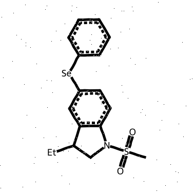 CCC1CN(S(C)(=O)=O)c2ccc([Se]c3ccccc3)cc21